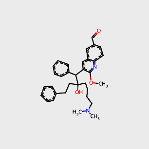 COc1nc2ccc(C=O)cc2cc1C(c1ccccc1)C(O)(CCCCN(C)C)CCc1ccccc1